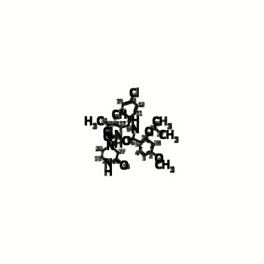 COc1ccc(C(=O)N[C@@H](C2C=CC(Cl)=CC2)C(NC(=O)N2CCNC(=O)C2)[C@@H](C)C(C)Cl)c(OC(C)C)c1